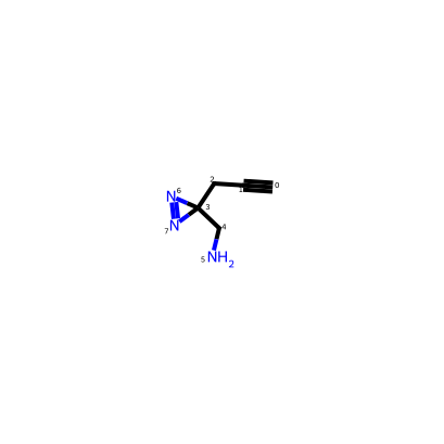 C#CCC1(CN)N=N1